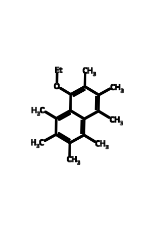 [CH2]COc1c(C)c(C)c(C)c2c(C)c(C)c(C)c(C)c12